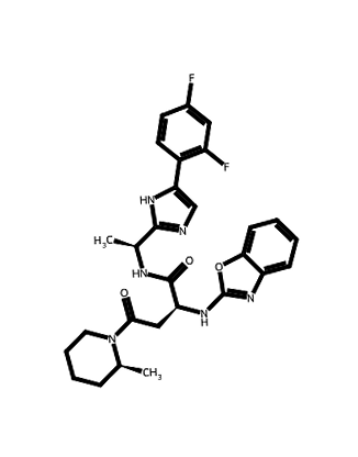 C[C@H](NC(=O)[C@H](CC(=O)N1CCCC[C@@H]1C)Nc1nc2ccccc2o1)c1ncc(-c2ccc(F)cc2F)[nH]1